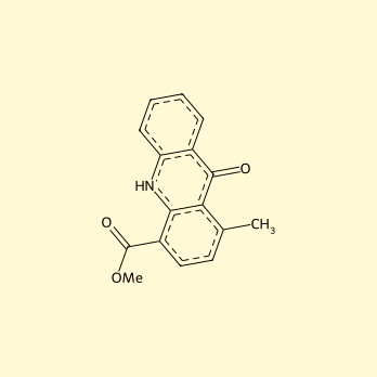 COC(=O)c1ccc(C)c2c(=O)c3ccccc3[nH]c12